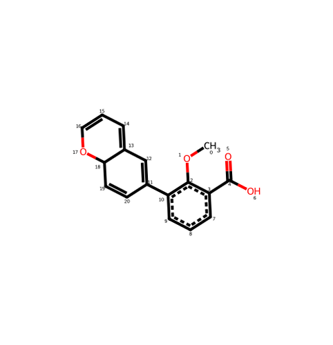 COc1c(C(=O)O)cccc1C1=CC2=CC=COC2C=C1